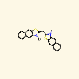 CCN1C(=Cc2sc3cc4ccccc4cc3[n+]2C)Sc2cc3ccccc3cc21